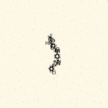 Cn1c(COc2cccc(Cl)c2)nnc1[C@H]1CC[C@H](c2cc([C@@H]3CC[C@@H](NC(=O)OC(C)(C)C)CO3)on2)CC1